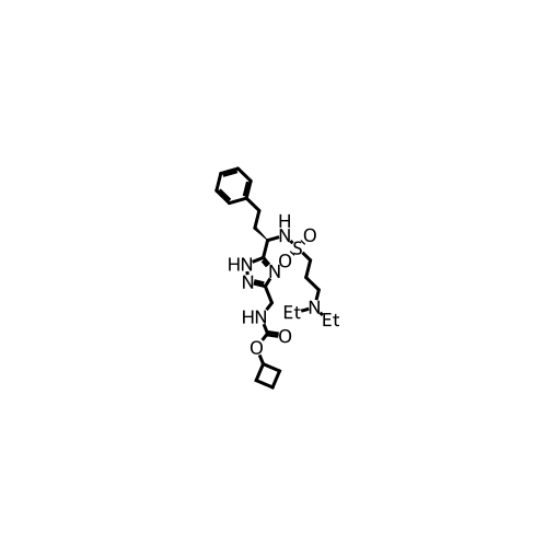 CCN(CC)CCCS(=O)(=O)N[C@H](CCc1ccccc1)c1nc(CNC(=O)OC2CCC2)n[nH]1